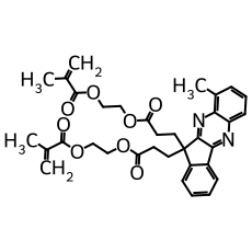 C=C(C)C(=O)OCCOC(=O)CCC1(CCC(=O)OCCOC(=O)C(=C)C)c2ccccc2-c2nc3cccc(C)c3nc21